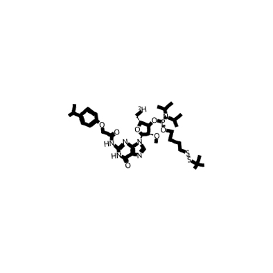 [2H]C[C@H]1O[C@@H](n2cnc3c(=O)[nH]c(NC(=O)COc4ccc(C(C)C)cc4)nc32)[C@@H](OC)C1OP(OCCCCSSC(C)(C)C)N(C(C)C)C(C)C